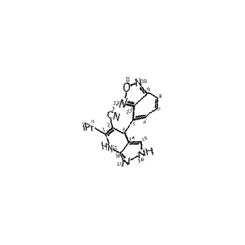 CC(C)C1=C(C#N)C(c2cccc3nonc23)c2c[nH]nc2N1